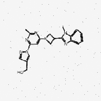 Cc1nc(N2CC(c3nc4ccccc4n3C)C2)cc(-n2cc(CO)cn2)n1